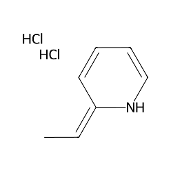 CC=C1C=CC=CN1.Cl.Cl